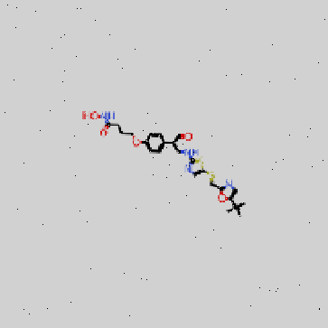 CC(C)(C)c1cnc(CSc2cnc(NCC(C=O)c3ccc(OCCCC(=O)NO)cc3)s2)o1